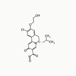 CC(C)C[C@H]1Cc2cc(OCCO)c(Cl)cc2-c2cc(=O)c(C(=O)N=O)cn21